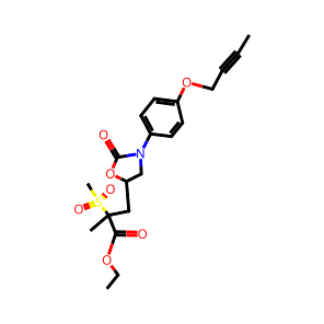 CC#CCOc1ccc(N2CC(CC(C)(C(=O)OCC)S(C)(=O)=O)OC2=O)cc1